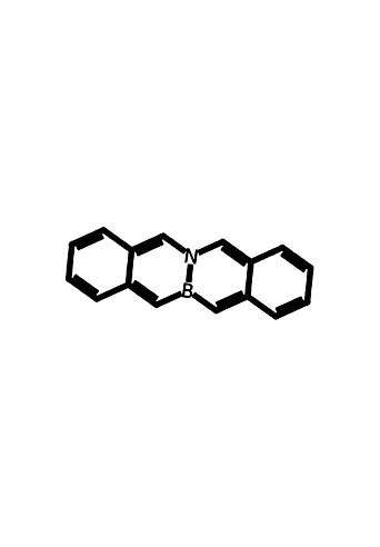 C1=c2ccccc2=CN2C=c3ccccc3=CB12